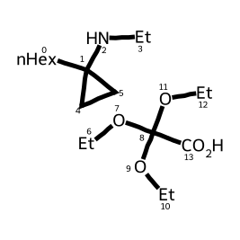 CCCCCCC1(NCC)CC1.CCOC(OCC)(OCC)C(=O)O